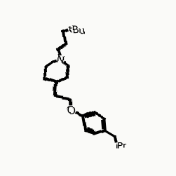 CC(C)Cc1ccc(OCCC2CCN(CCCC(C)(C)C)CC2)cc1